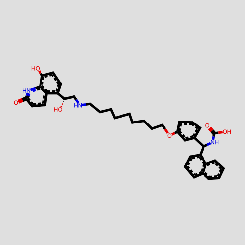 O=C(O)NC(c1cccc(OCCCCCCCCCNC[C@H](O)c2ccc(O)c3[nH]c(=O)ccc23)c1)c1cccc2ccccc12